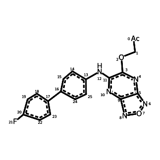 CC(=O)COc1nc2nonc2nc1Nc1ccc(-c2ccc(F)cc2)cc1